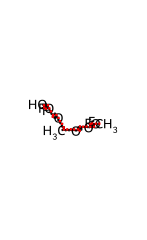 CCOc1ccc(OCCCc2ccc(OCCCCCCC(C)CCCCCCOc3ccc(CCCOc4ccc(O)c(F)c4F)cc3)cc2)c(F)c1F